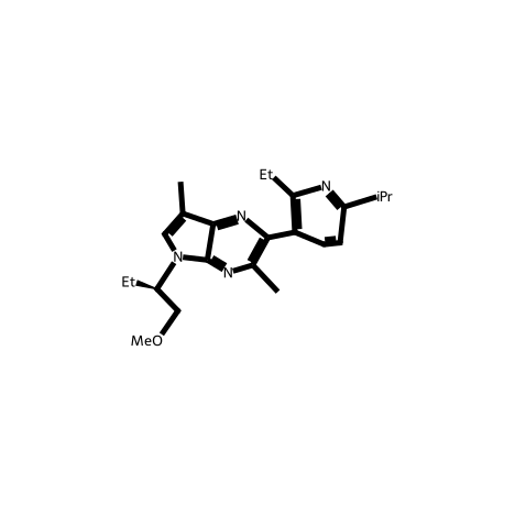 CCc1nc(C(C)C)ccc1-c1nc2c(C)cn([C@H](CC)COC)c2nc1C